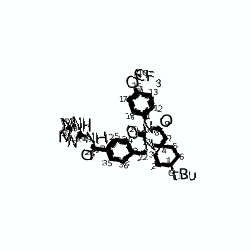 CC(C)(C)[C@H]1CC[C@]2(CC1)CC(=O)N(c1ccc(OC(F)(F)F)cc1)C(=O)N2Cc1ccc(C(=O)Nc2nnn[nH]2)cc1